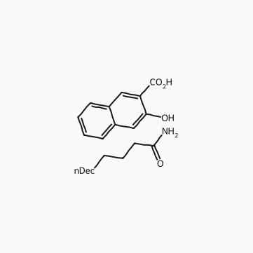 CCCCCCCCCCCCCC(N)=O.O=C(O)c1cc2ccccc2cc1O